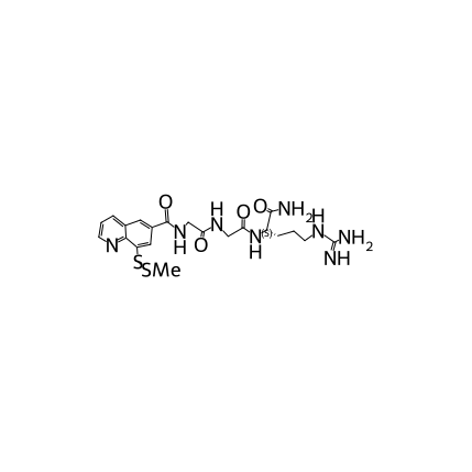 CSSc1cc(C(=O)NCC(=O)NCC(=O)N[C@@H](CCCNC(=N)N)C(N)=O)cc2cccnc12